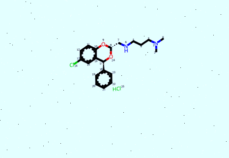 CN(C)CCCNC[C@H]1Oc2ccc(Cl)cc2[C@H](c2ccccc2)O1.Cl